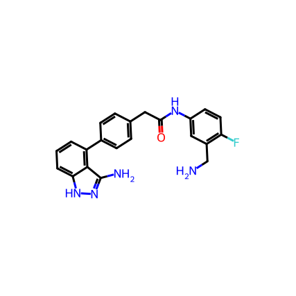 NCc1cc(NC(=O)Cc2ccc(-c3cccc4[nH]nc(N)c34)cc2)ccc1F